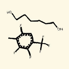 Cc1c(F)cc(C(F)(F)F)c(F)c1F.OCCCCCCO